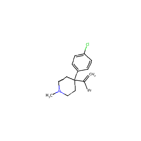 C=C(C(C)C)C1(c2ccc(Cl)cc2)CCN(C)CC1